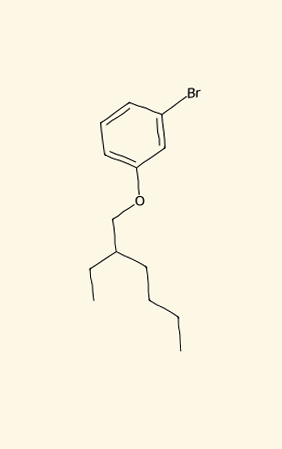 CCCCC(CC)COc1cccc(Br)c1